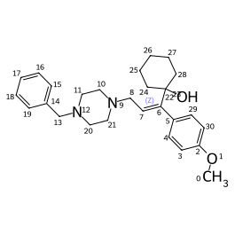 COc1ccc(/C(=C/CN2CCN(Cc3ccccc3)CC2)C2(O)CCCCC2)cc1